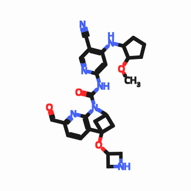 COC1CCCC1Nc1cc(NC(=O)N2c3nc(C=O)ccc3C3(OC4CNC4)CC2C3)ncc1C#N